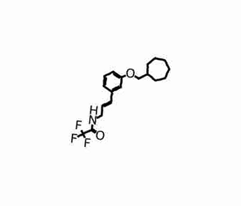 O=C(NC/C=C/c1cccc(OCC2CCCCCC2)c1)C(F)(F)F